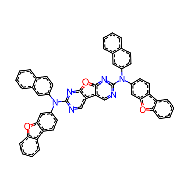 c1ccc2cc(N(c3ccc4c(c3)oc3ccccc34)c3ncc4c(n3)oc3nc(N(c5ccc6ccccc6c5)c5ccc6c(c5)oc5ccccc56)ncc34)ccc2c1